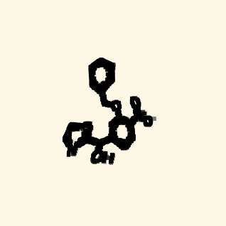 O=[N+]([O-])c1ccc(C(O)c2nccs2)cc1OCc1ccccc1